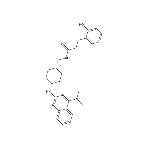 CN(C)c1nc(N[C@H]2CC[C@@H](CNC(=O)CCc3ccccc3O)CC2)nc2ccccc12